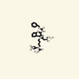 CCN(Cc1nc2c(NC(=O)OCc3ccccc3)nc3ccccc3c2n1CCCCN(C(N)=O)C1CS(=O)(=O)C1)C(=O)O